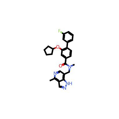 Cc1ncc(CN(C)C(=O)c2ccc(-c3cccc(F)c3)c(OC3CCCC3)c2)c2[nH]ncc12